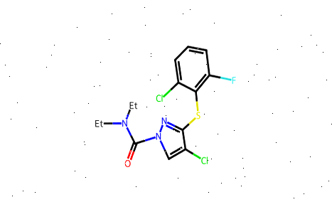 CCN(CC)C(=O)n1cc(Cl)c(Sc2c(F)cccc2Cl)n1